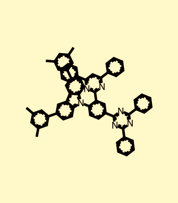 Cc1cc(C)cc(-c2ccc3c(c2)c2cc(-c4cc(C)cc(C)c4)ccc2n3-c2ccc(-c3nc(-c4ccccc4)nc(-c4ccccc4)n3)cc2-c2nc(-c3ccccc3)cc(-c3ccccc3)n2)c1